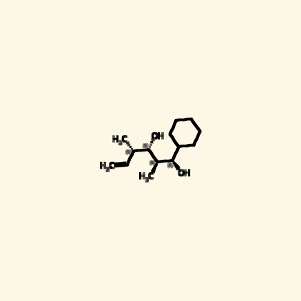 C=C[C@H](C)[C@H](O)[C@H](C)[C@H](O)C1CCCCC1